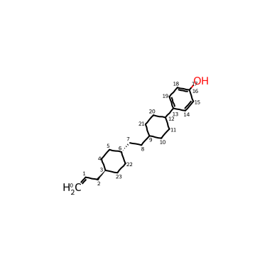 C=CC[C@H]1CC[C@H](CCC2CCC(c3ccc(O)cc3)CC2)CC1